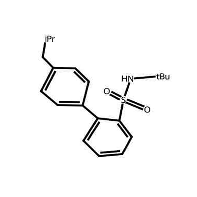 CC(C)Cc1ccc(-c2ccccc2S(=O)(=O)NC(C)(C)C)cc1